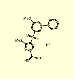 COc1cc(-c2ccccc2)cc(S(=O)(=O)c2cc(C(=N)N)sc2SC)c1.Cl